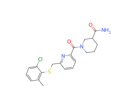 Cc1cccc(Cl)c1SCc1cccc(C(=O)N2CCCC(C(N)=O)C2)n1